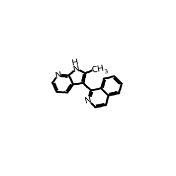 Cc1[nH]c2ncccc2c1-c1nccc2ccccc12